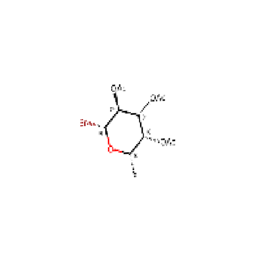 CC(=O)O[C@@H]1[C@H](OC(C)=O)[C@H](C)O[C@H](Br)[C@H]1OC(C)=O